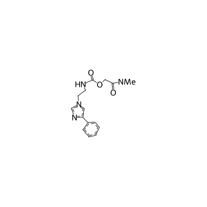 CNC(=O)COC(=O)NCCn1cnc(-c2ccccc2)c1